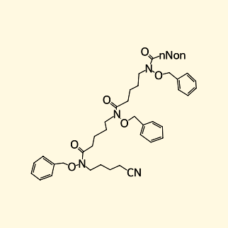 CCCCCCCCCC(=O)N(CCCCC(=O)N(CCCCC(=O)N(CCCCC#N)OCc1ccccc1)OCc1ccccc1)OCc1ccccc1